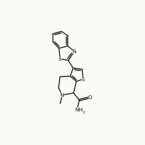 CN1CCc2c(-c3nc4ccccc4s3)[c]sc2C1C(N)=O